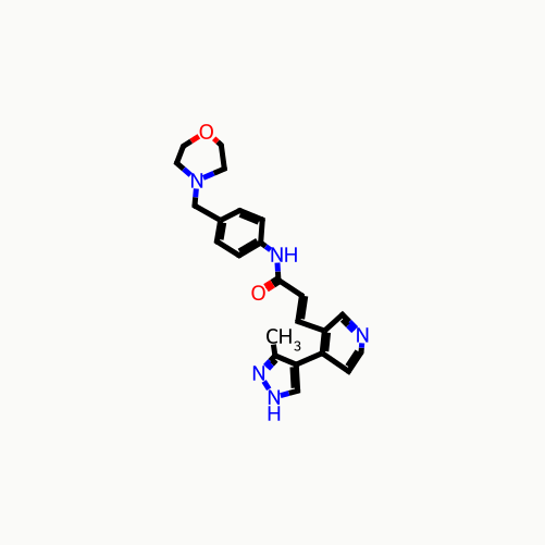 Cc1n[nH]cc1-c1ccncc1C=CC(=O)Nc1ccc(CN2CCOCC2)cc1